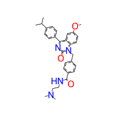 COc1ccc2c(c1)c(-c1ccc(C(C)C)cc1)nc(=O)n2Cc1ccc(C(=O)NCCN(C)C)cc1